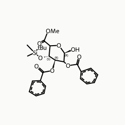 COC(=O)C1O[C@@H](O)C(OC(=O)c2ccccc2)[C@@H](OC(=O)c2ccccc2)[C@@H]1O[Si](C)(C)C(C)(C)C